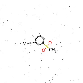 CSc1cccc(S(C)(=O)=O)c1